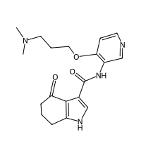 CN(C)CCCOc1ccncc1NC(=O)c1c[nH]c2c1C(=O)CCC2